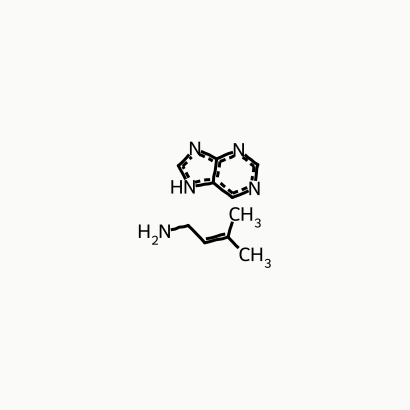 CC(C)=CCN.c1ncc2[nH]cnc2n1